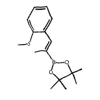 CSc1ccccc1C=C(C)B1OC(C)(C)C(C)(C)O1